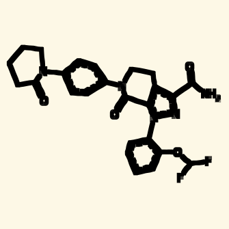 NC(=O)c1nn(-c2ccccc2OC(F)F)c2c1CCN(c1ccc(N3CCCCC3=O)cc1)C2=O